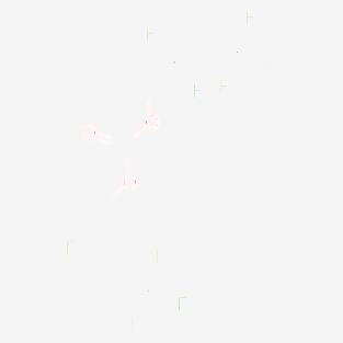 O=C(OCC(F)(F)CC(F)(F)F)OCC(F)(F)CC(F)(F)F